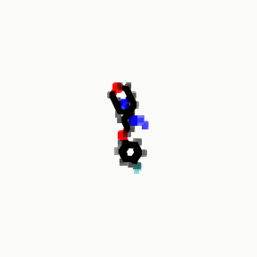 NC1CC2COCC(C1)N2CCCOc1ccc(F)cc1